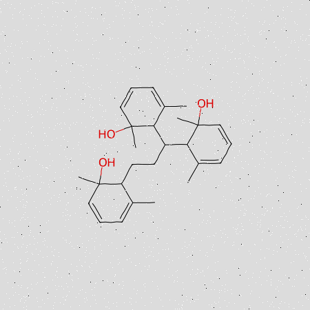 CC1=CC=CC(C)(O)C1CCC(C1C(C)=CC=CC1(C)O)C1C(C)=CC=CC1(C)O